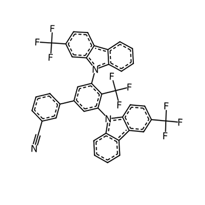 N#Cc1cccc(-c2cc(-n3c4ccccc4c4cc(C(F)(F)F)ccc43)c(C(F)(F)F)c(-n3c4ccccc4c4ccc(C(F)(F)F)cc43)c2)c1